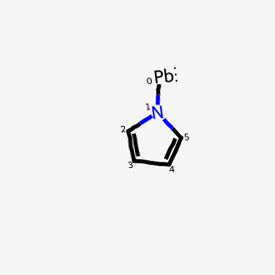 [Pb][n]1cccc1